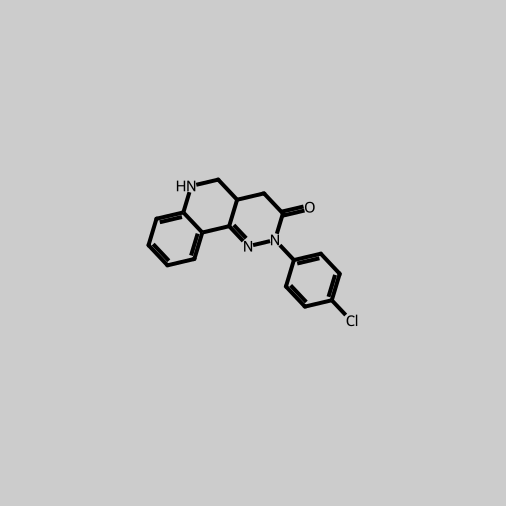 O=C1CC2CNc3ccccc3C2=NN1c1ccc(Cl)cc1